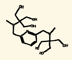 CN(Cc1cccc(CN(C)C(CO)(CO)CO)n1)C(CO)(CO)CO